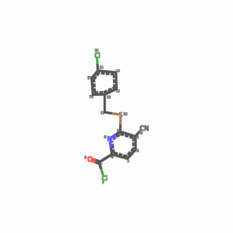 N#Cc1ccc(C(=O)Cl)nc1SCc1ccc(Cl)cc1